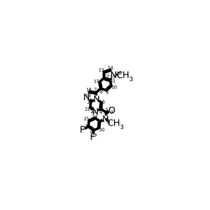 CN(C(=O)c1cn2c(-c3ccc4c(ccn4C)c3)cnc2cn1)c1ccc(F)c(F)c1